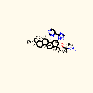 COCC1(C)[C@@H](OC[C@](C)(N)C(C)(C)C)[C@H](n2ncnc2-c2ccncn2)C[C@]2(C)C3=CCC4[C@H](C(=O)O)[C@@](C)([C@H](C)C(C)C)CC[C@]4(C)[C@H]3CC[C@@H]12